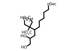 CCCCCCCCCCCCCCCC(CC(O)CO)C(CC(=O)O)(CC(=O)O)C(=O)O